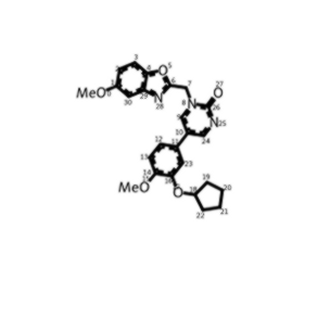 COc1ccc2oc(Cn3cc(-c4ccc(OC)c(OC5CCCC5)c4)cnc3=O)nc2c1